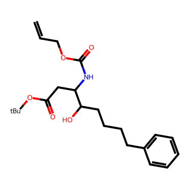 C=CCOC(=O)NC(CC(=O)OC(C)(C)C)C(O)CCCCc1ccccc1